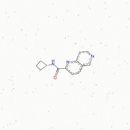 O=C(NC1CCC1)c1ccc2cnccc2n1